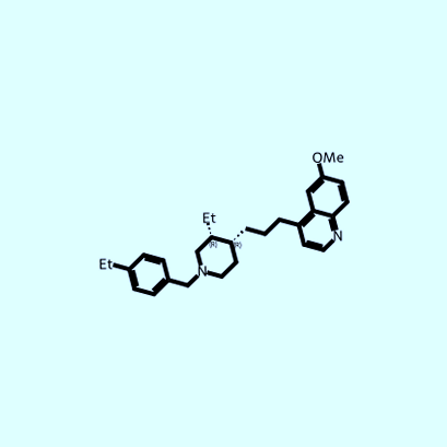 CCc1ccc(CN2CC[C@@H](CCCc3ccnc4ccc(OC)cc34)[C@@H](CC)C2)cc1